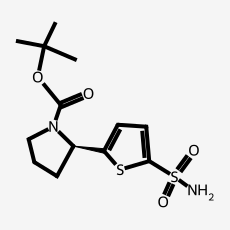 CC(C)(C)OC(=O)N1CCC[C@@H]1c1ccc(S(N)(=O)=O)s1